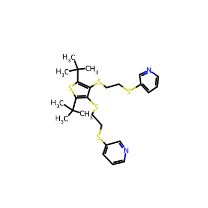 CC(C)(C)c1sc(C(C)(C)C)c(SCCSc2cccnc2)c1SCCSc1cccnc1